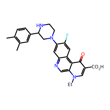 CCn1cc(C(=O)O)c(=O)c2c3cc(F)c(N4CCNC(c5ccc(C)c(C)c5)C4)cc3ncc21